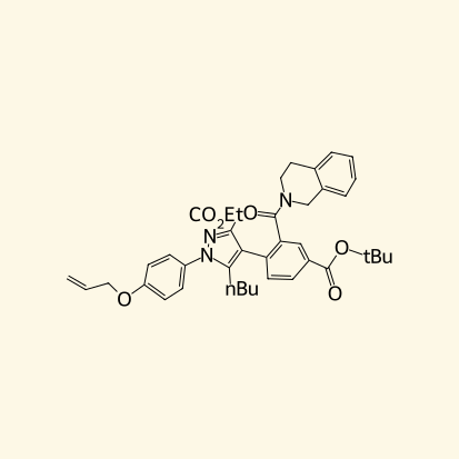 C=CCOc1ccc(-n2nc(C(=O)OCC)c(-c3ccc(C(=O)OC(C)(C)C)cc3C(=O)N3CCc4ccccc4C3)c2CCCC)cc1